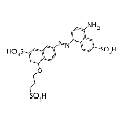 Nc1ccc(N=Nc2ccc3c(OCCCS(=O)(=O)O)cc(S(=O)(=O)O)cc3c2)c2ccc(S(=O)(=O)O)cc12